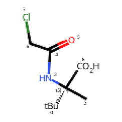 CC(C)(C)[C@](C)(NC(=O)CCl)C(=O)O